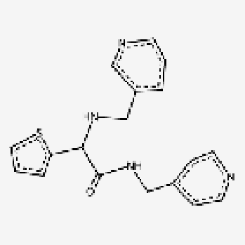 O=C(NCc1ccncc1)C(NCc1cccnc1)c1cccs1